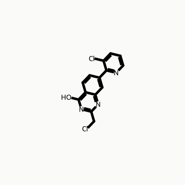 Oc1nc(CCl)nc2cc(-c3ncccc3Cl)ccc12